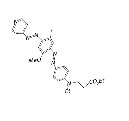 CCOC(=O)CCN(CC)c1ccc(/N=N/c2cc(C)c(/N=N/c3ccncc3)cc2OC)cc1